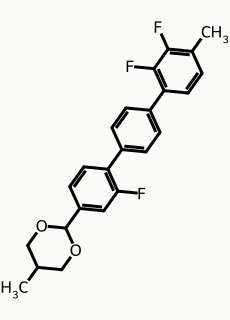 Cc1ccc(-c2ccc(-c3ccc(C4OCC(C)CO4)cc3F)cc2)c(F)c1F